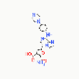 NC(=O)c1oc(-c2cnc(Nc3ccc(N4CCNCC4)cc3)c3nccn23)cc1C(=O)O